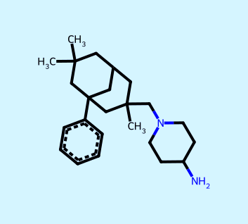 CC1(C)CC2CC(C)(CN3CCC(N)CC3)CC(c3ccccc3)(C2)C1